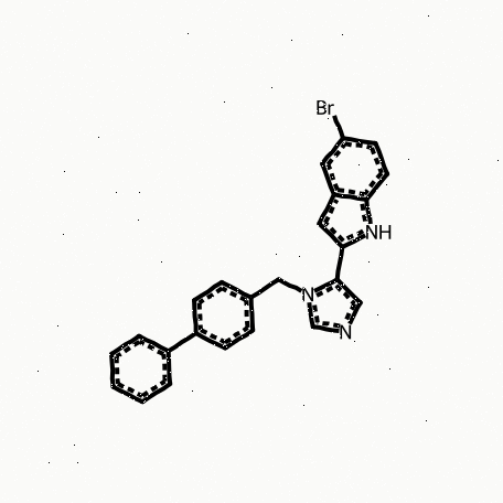 Brc1ccc2[nH]c(-c3cncn3Cc3ccc(-c4ccccc4)cc3)cc2c1